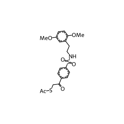 COc1ccc(OC)c(CCNS(=O)(=O)c2ccc(C(=O)CSC(C)=O)cc2)c1